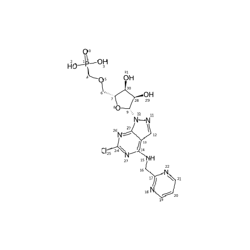 O=P(O)(O)COC[C@H]1O[C@@H](n2ncc3c(NCc4ncccn4)nc(Cl)nc32)[C@H](O)[C@@H]1O